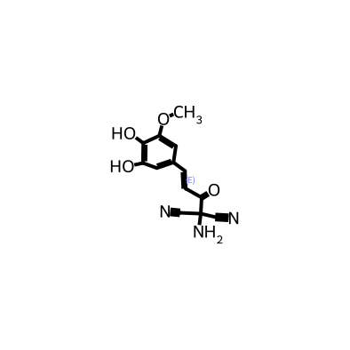 COc1cc(/C=C/C(=O)C(N)(C#N)C#N)cc(O)c1O